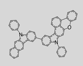 c1ccc(-n2c3ccc(-c4ccc5c(c4)c4c6cccc7c6c(cc4n5-c4ccccc4)Oc4ccccc4-7)cc3c3cc4ccccc4cc32)cc1